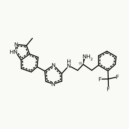 Cc1n[nH]c2ccc(-c3cncc(NC[C@@H](N)Cc4ccccc4C(F)(F)F)n3)cc12